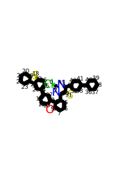 Clc1nc(-c2cccc3oc4ccc(-c5ccc6sc7ccccc7c6c5)cc4c23)c2sc3cc(-c4ccccc4)ccc3c2n1